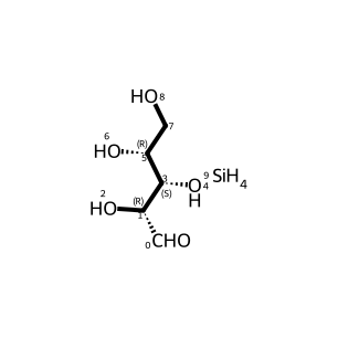 O=C[C@H](O)[C@@H](O)[C@H](O)CO.[SiH4]